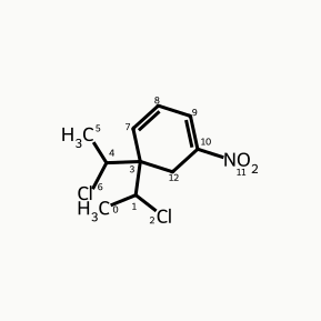 CC(Cl)C1(C(C)Cl)C=CC=C([N+](=O)[O-])C1